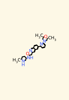 C[C@@H]1CC[C@@H](NC(=O)Cc2cc3cc(-c4cccc(N5C[C@@H](C)O[C@@H](C)C5)n4)ccc3cn2)CN1